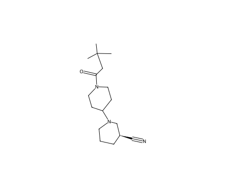 CC(C)(C)CC(=O)N1CCC(N2CCC[C@H](C#N)C2)CC1